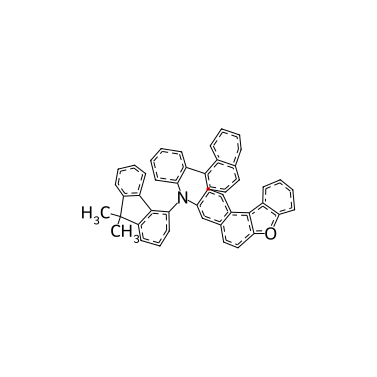 CC1(C)c2ccccc2-c2c(N(c3ccc4c(ccc5oc6ccccc6c54)c3)c3ccccc3-c3cccc4ccccc34)cccc21